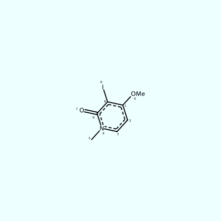 COc1ccn(C)c(=O)c1I